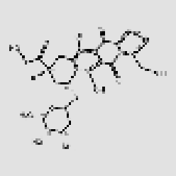 C[C@@H]1OC(O[C@@H]2C[C@](O)(C(=O)CO)Cc3c(O)c4c(c(O)c32)C(=O)c2c(CO)cccc2C4=O)C[C@H](N)[C@@H]1O